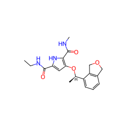 CCNC(=O)c1cc(O[C@H](C)c2cccc3c2COC3)c(C(=O)NC)[nH]1